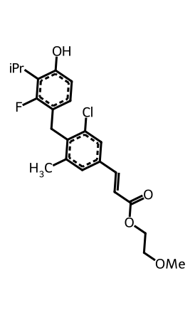 COCCOC(=O)/C=C/c1cc(C)c(Cc2ccc(O)c(C(C)C)c2F)c(Cl)c1